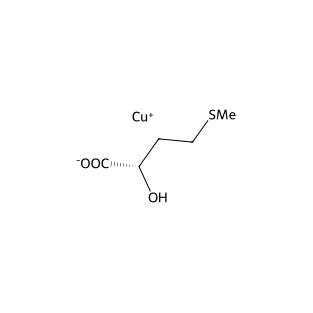 CSCC[C@H](O)C(=O)[O-].[Cu+]